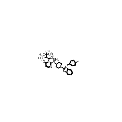 CC(C(=O)n1c(N(C)C2CCN(c3nc4ccccc4n3Cc3ccc(F)cc3)CC2)nccc1=O)C(C)(C)C